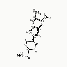 COc1cc2nc(C3CCC(CO)CC3)sc2cc1N